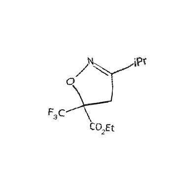 CCOC(=O)C1(C(F)(F)F)CC(C(C)C)=NO1